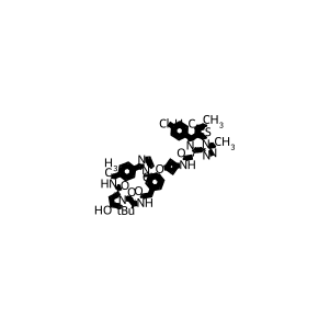 Cc1sc2c(c1C)C(c1ccc(Cl)cc1)=N[C@@H](CC(=O)NC1CC(Oc3ccc(CC(=O)N[C@H](C(=O)N4C[C@H](O)C[C@H]4C(=O)N[C@@H](C)c4ccc(-c5nccn5C)cc4)C(C)(C)C)cc3)C1)c1nnc(C)n1-2